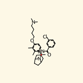 Cc1c(OCCCCN(C)C)ccc(C(C)N2C3CCC2CC(NC(=O)c2cccc(Cl)c2)C3)c1C